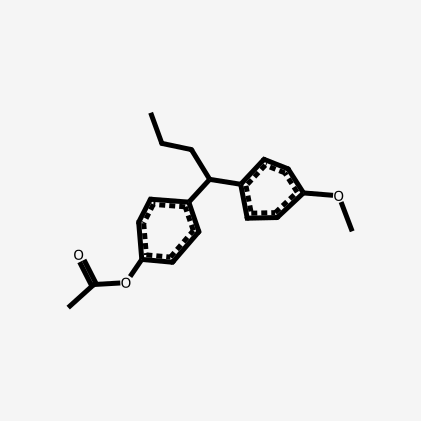 CCCC(c1ccc(OC)cc1)c1ccc(OC(C)=O)cc1